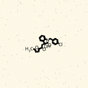 Cc1ccc(C(=O)CC2(O)C(=O)N(Cc3ccc(Cl)cc3)c3ccccc32)o1